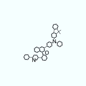 CC1(C)c2ccccc2-c2ccc(N(c3ccccc3)c3ccc(-c4cc5ccccc5c5c4oc4cccc(-c6ccc(-c7ccccc7)nc6)c45)cc3)cc21